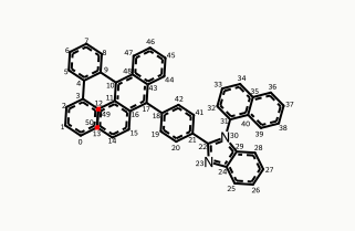 c1ccc(-c2ccccc2-c2c3ccccc3c(-c3ccc(-c4nc5ccccc5n4-c4cccc5ccccc45)cc3)c3ccccc23)cc1